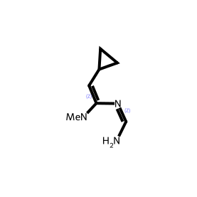 CNC(=C/C1CC1)/N=C\N